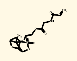 C=CC(=O)NCC(=O)OCCOC1(C)C2CC3C(O2)C1OS3(=O)=O